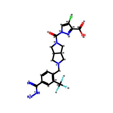 N=C(NN)c1ccc(CN2CC3CN(C(=O)n4cc(Cl)c(C(=O)O)n4)CC3C2)c(C(F)(F)F)c1